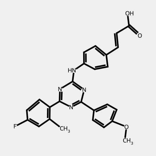 COc1ccc(-c2nc(Nc3ccc(/C=C/C(=O)O)cc3)nc(-c3ccc(F)cc3C)n2)cc1